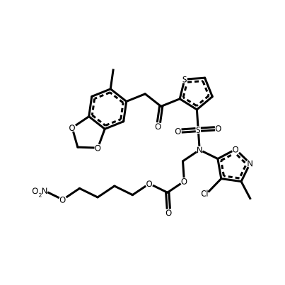 Cc1cc2c(cc1CC(=O)c1sccc1S(=O)(=O)N(COC(=O)OCCCCO[N+](=O)[O-])c1onc(C)c1Cl)OCO2